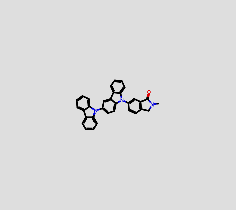 CN1Cc2ccc(-n3c4ccccc4c4cc(-n5c6ccccc6c6ccccc65)ccc43)cc2C1=O